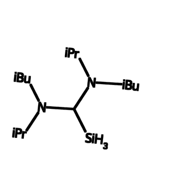 CCC(C)N(C(C)C)C([SiH3])N(C(C)C)C(C)CC